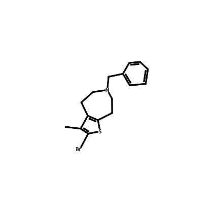 Cc1c(Br)sc2c1CCN(Cc1ccccc1)CC2